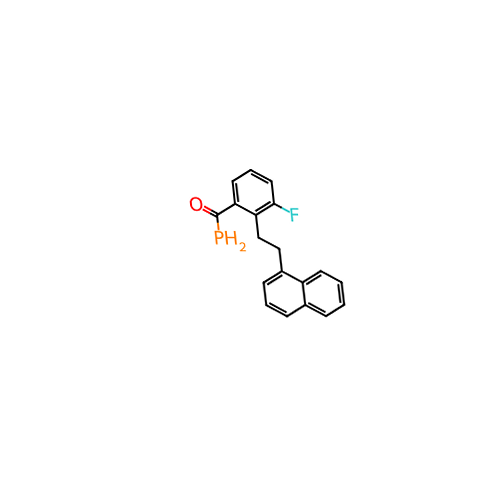 O=C(P)c1cccc(F)c1CCc1cccc2ccccc12